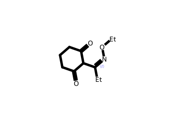 CCO/N=C(/CC)C1C(=O)CCCC1=O